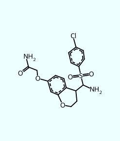 NC(=O)COc1ccc2c(c1)OCCC2C(N)S(=O)(=O)c1ccc(Cl)cc1